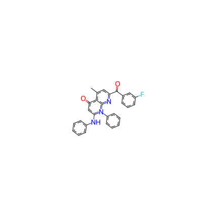 Cc1cc(C(=O)c2cccc(F)c2)nc2c1c(=O)cc(Nc1ccccc1)n2-c1ccccc1